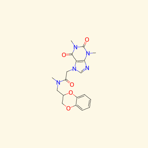 CN(CC1COc2ccccc2O1)C(=O)Cn1cnc2c1c(=O)n(C)c(=O)n2C